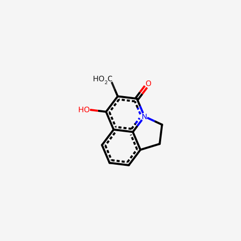 O=C(O)c1c(O)c2cccc3c2n(c1=O)CC3